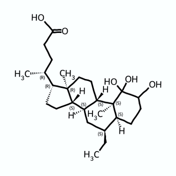 CC[C@H]1C[C@H]2[C@@H]3CC[C@H]([C@H](C)CCC(=O)O)[C@@]3(C)CC[C@@H]2[C@]2(C)[C@H]1CCC(O)C2(O)O